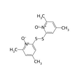 Cc1cc(C)[n+]([O-])c(SSc2cc(C)cc(C)[n+]2[O-])c1